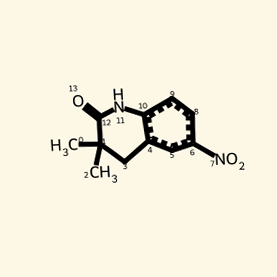 CC1(C)Cc2cc([N+](=O)[O-])ccc2NC1=O